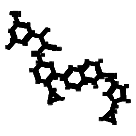 Cc1cc(O)cc(C(C)C(=O)Nc2ccc(C3CC3)c(-c3ccc4nc(Nc5cnn(C6CC6)c5)ncc4c3)c2)c1